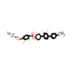 CCOCc1ccc(C(=O)OC2CCC(c3ccc(-c4ccc(C)cc4)c(F)c3F)CC2)c(F)c1F